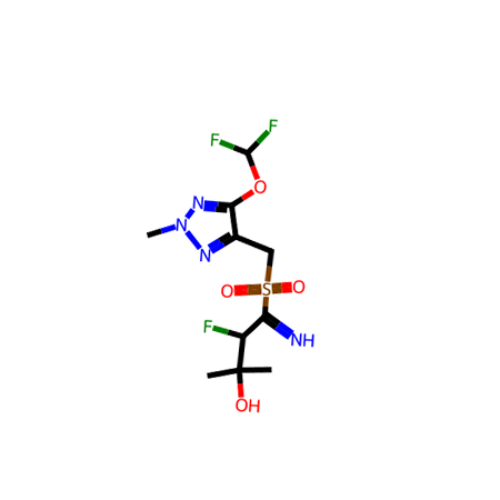 Cn1nc(CS(=O)(=O)C(=N)C(F)C(C)(C)O)c(OC(F)F)n1